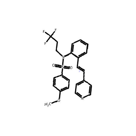 COc1ccc(S(=O)(=O)N(CCC(F)(F)F)c2ccccc2/C=C/c2ccncc2)cc1